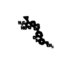 COc1ccc(F)c(-c2ccc([C@@H]3COc4ccc(C(C5CC5)[C@@H](C)C(=O)O)cc4O3)cc2Cl)c1